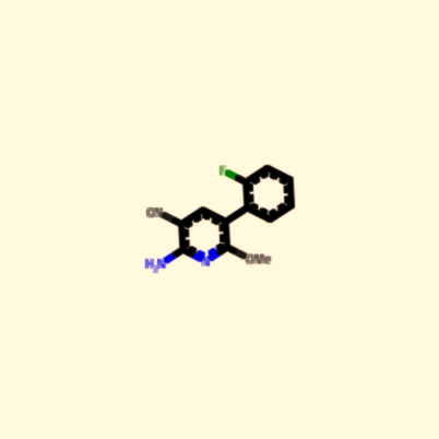 COc1nc(N)c(N=O)cc1-c1ccccc1F